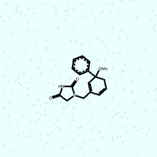 COC1(c2ccccc2)C=C(CN2CC(=O)NC2=O)C=CC1